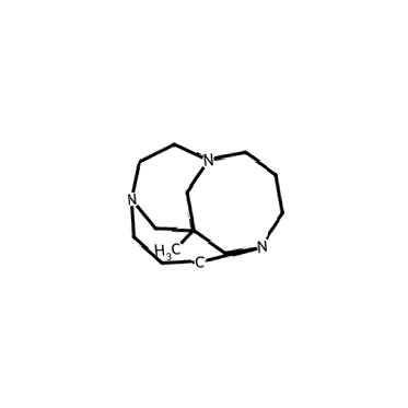 CC12CN3CCCN(CCN(CCC3)C1)C2